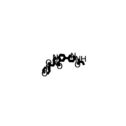 CCC(=O)Nc1ccc(-c2ccc3ncn(CC(=O)N4CCOCC4)c(=O)c3c2)cn1